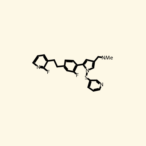 CNCc1cc(-c2ccc(CCc3cccnc3F)cc2F)n(Sc2cccnc2)c1